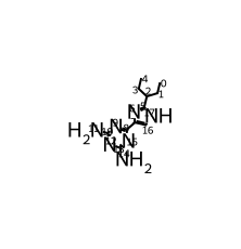 CCC(CC)c1nc(-c2nc(N)nc(N)n2)c[nH]1